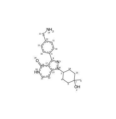 CC1(O)CCC(n2nc(-c3ccc(SN)cc3)c3c(=O)[nH]ccc32)CC1